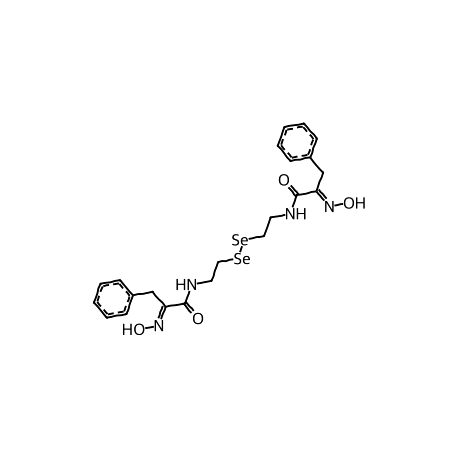 O=C(NCC[Se][Se]CCNC(=O)/C(Cc1ccccc1)=N/O)/C(Cc1ccccc1)=N/O